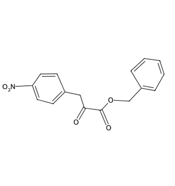 O=C(Cc1ccc([N+](=O)[O-])cc1)C(=O)OCc1ccccc1